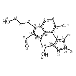 Cc1c(-c2c(Cl)ccc3c(CCCO)c(C=O)n(C)c23)c(CO)nn1C